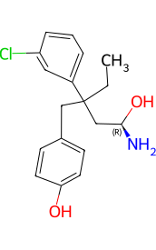 CCC(Cc1ccc(O)cc1)(C[C@H](N)O)c1cccc(Cl)c1